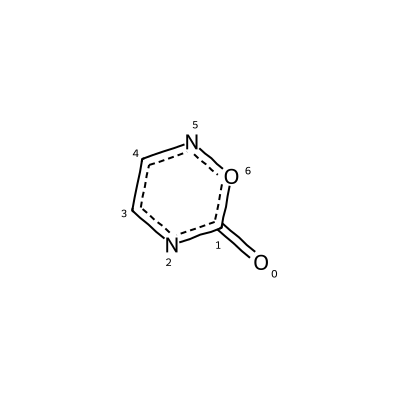 O=c1nccno1